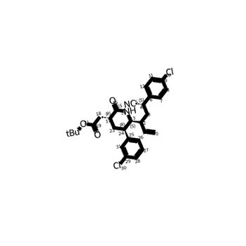 C=CC(C[C@H](C#N)c1ccc(Cl)cc1)[C@@H]1NC(=O)[C@@H](CC(=O)OC(C)(C)C)C[C@@H]1c1cccc(Cl)c1